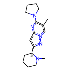 Cc1cn2nc([C@@H]3CCCCN3C)cc2nc1N1CCCC1